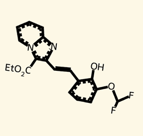 CCOC(=O)c1c(C=Cc2cccc(OC(F)F)c2O)nc2ccccn12